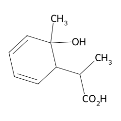 CC(C(=O)O)C1C=CC=CC1(C)O